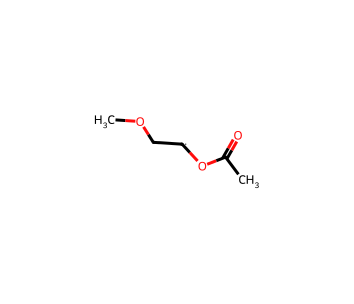 COC[CH]OC(C)=O